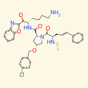 CSN[C@H](C/C=C/c1ccccc1)C(=O)N1C[C@H](OCc2ccc(Cl)cc2)C[C@H]1C(=O)N[C@@H](CCCCN)C(=O)c1nc2ccccc2o1